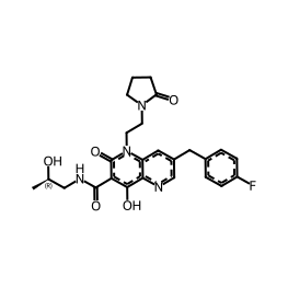 C[C@@H](O)CNC(=O)c1c(O)c2ncc(Cc3ccc(F)cc3)cc2n(CCN2CCCC2=O)c1=O